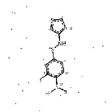 Cc1cc(SNc2cscn2)ccc1N(C)F